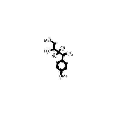 C=C(c1ccc(OC)cc1)C(C#N)(C#N)C(C)=CSC